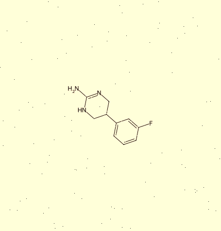 NC1=NCC(c2cccc(F)c2)CN1